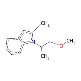 COCC(C)n1c(C)cc2ccccc21